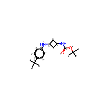 CC(C)(C)OC(=O)NC1CC(Nc2ccc(C(C)(C)C)cc2)C1